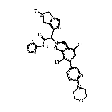 O=C(Nc1nccs1)C(c1ncn2c1C[C@@H](F)C2)n1cc2c(Cl)cc(-c3ccc(N4CCOCC4)nc3)c(Cl)c2n1